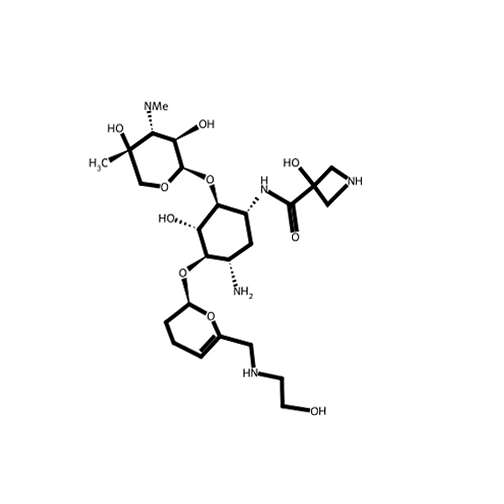 CN[C@@H]1[C@@H](O)[C@@H](O[C@@H]2[C@@H](O)[C@H](O[C@@H]3CCC=C(CNCCO)O3)[C@@H](N)C[C@H]2NC(=O)C2(O)CNC2)OC[C@]1(C)O